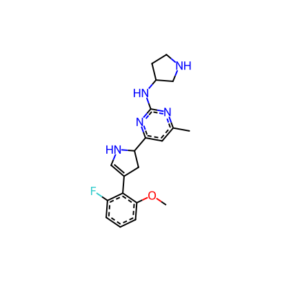 COc1cccc(F)c1C1=CNC(c2cc(C)nc(NC3CCNC3)n2)C1